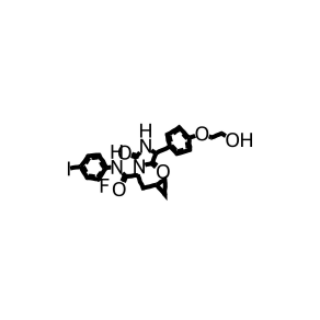 O=C(Nc1ccc(I)cc1F)C(CC1CC1)N1C(=O)NC(c2ccc(OCCO)cc2)C1=O